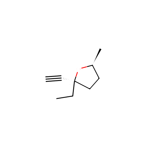 C#C[C@@]1(CC)CC[C@H](C)O1